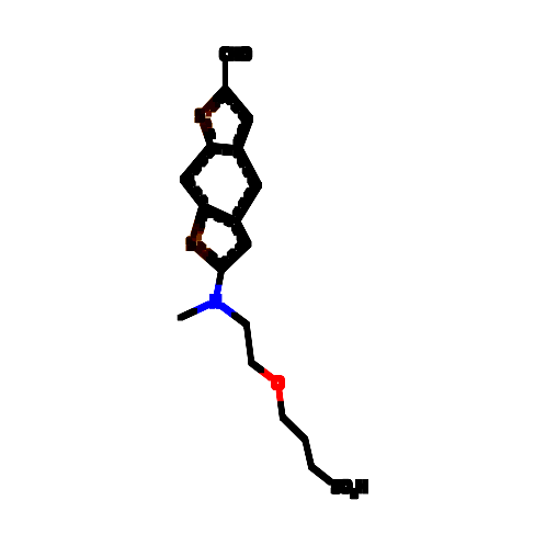 CN(CCOCCCS(=O)(=O)O)c1cc2cc3cc(C=O)sc3cc2s1